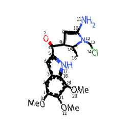 COc1cc2cc(C(=O)C3C=C(N)N(CCl)C3C)[nH]c2c(OC)c1OC